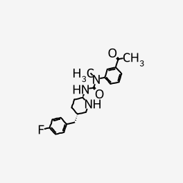 CC(=O)c1cccc(N(C)C(=O)N[C@@H]2CC[C@@H](Cc3ccc(F)cc3)CN2)c1